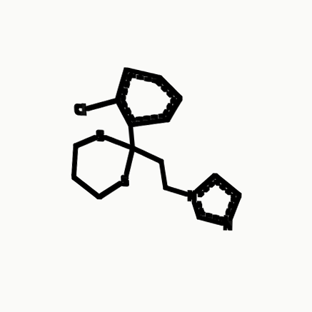 Clc1ccccc1C1(CCn2ccnc2)SCCCS1